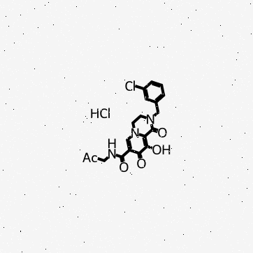 CC(=O)CNC(=O)c1cn2c(c(O)c1=O)C(=O)N(Cc1cccc(Cl)c1)CC2.Cl